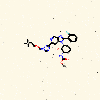 CC(C)(C)OC(=O)N[C@H]1CCC[C@@H](n2c(-c3ccccc3F)nc3cnc(-c4ncn(COCC[Si](C)(C)C)n4)cc32)[C@H]1O